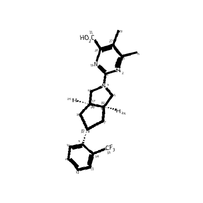 Cc1nc(N2C[C@H]3C[C@H](c4ccccc4C(F)(F)F)C[C@H]3C2)nc(C(=O)O)c1C